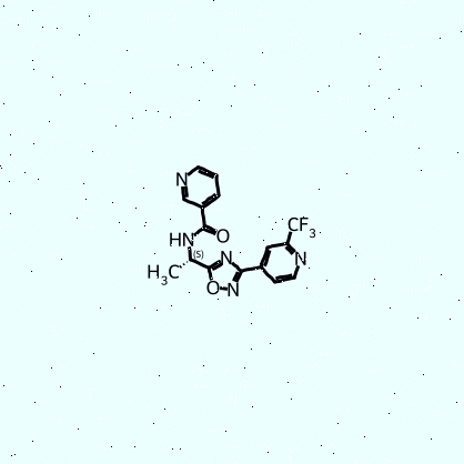 C[C@H](NC(=O)c1cccnc1)c1nc(-c2ccnc(C(F)(F)F)c2)no1